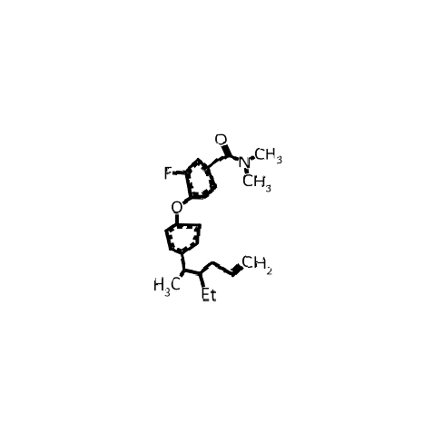 C=CCC(CC)C(C)c1ccc(Oc2ccc(C(=O)N(C)C)cc2F)cc1